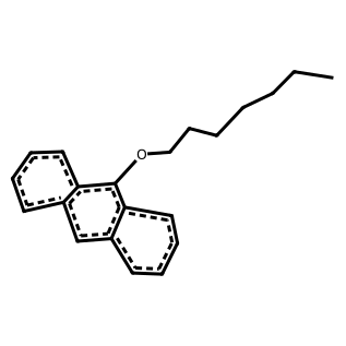 CCCCCCCOc1c2ccccc2cc2ccccc12